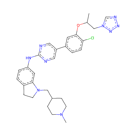 CC(Cn1cnnn1)Oc1cc(-c2cnc(Nc3ccc4c(c3)N(CC3CCN(C)CC3)CC4)nc2)ccc1Cl